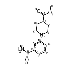 COC(=O)C1CCN(c2cc(C(N)=O)ccn2)CC1